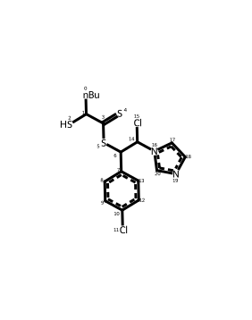 CCCCC(S)C(=S)SC(c1ccc(Cl)cc1)C(Cl)n1ccnc1